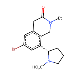 CCN1Cc2c(cc(Br)cc2[C@@H]2CCCN2C(=O)O)CC1=O